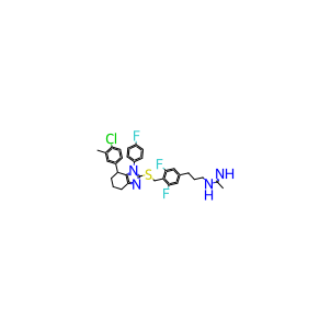 CC(=N)NCCCc1cc(F)c(CSc2nc3c(n2-c2ccc(F)cc2)C(c2ccc(Cl)c(C)c2)CCC3)c(F)c1